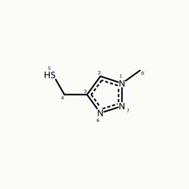 Cn1cc(CS)nn1